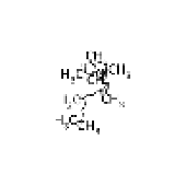 Cc1[c]c(C)c2c(c1C)O[C@](C)(CCC[C@H](C)CCC[C@H](C)CCCC(C)C)CC2